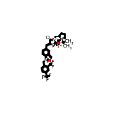 CC(C)(C)[N+]1(C(=O)[O-])CCC[C@@H]1CN1C(=O)SC(=Cc2ccc3c(cnn3Cc3ccc(C(F)(F)F)cc3C(F)(F)F)c2)C1=O